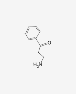 NCCC(=O)c1c[c]ccc1